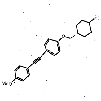 CC[C@H]1CC[C@H](COc2ccc(C#Cc3ccc(OC)cc3)cc2)CC1